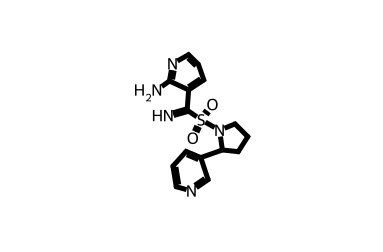 N=C(c1cccnc1N)S(=O)(=O)N1CCCC1c1cccnc1